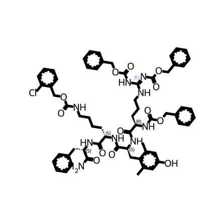 Cc1cc(O)cc(C)c1C[C@H](NC(=O)[C@@H](CCCN/C(=N\C(=O)OCc1ccccc1)NC(=O)OCc1ccccc1)NC(=O)OCc1ccccc1)C(=O)N[C@@H](CCCCNC(=O)OCc1ccccc1Cl)C(=O)N[C@@H](Cc1ccccc1)C(N)=O